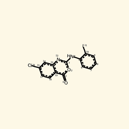 O=c1oc(Nc2ccccc2I)nc2cc(Cl)ccc12